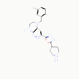 Clc1ccc(Cl)c(CN2CCNc3nnc(-c4nnc(C5CCNCC5)o4)cc32)c1